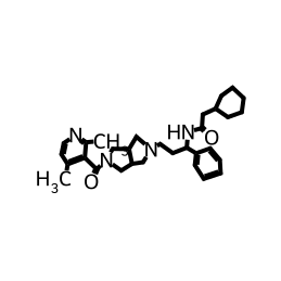 Cc1ccnc(C)c1C(=O)N1CC2CN(CCC(NC(=O)CC3CCCCC3)c3ccccc3)CC2C1